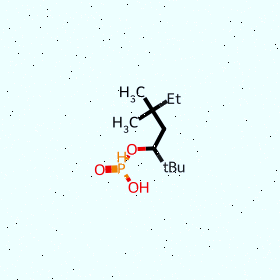 CCC(C)(C)CC(O[PH](=O)O)C(C)(C)C